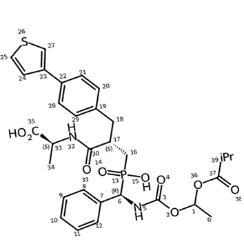 CC(OC(=O)N[C@@H](c1ccccc1)P(=O)(O)C[C@@H](Cc1ccc(-c2ccsc2)cc1)C(=O)N[C@@H](C)C(=O)O)OC(=O)C(C)C